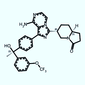 C[C@](O)(c1ccc(-c2nc([C@@H]3CC[C@H]4CCC(=O)N4C3)n3ccnc(N)c23)cc1)c1cccc(OC(F)(F)F)c1